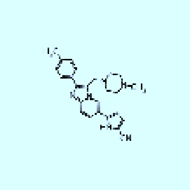 Cc1ccc(-c2nc3ccc(-c4ccc(C#N)[nH]4)cn3c2CN2CCN(C)CC2)cc1